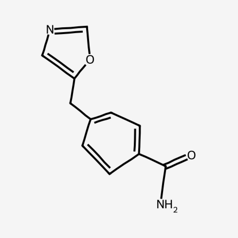 NC(=O)c1ccc(Cc2cnco2)cc1